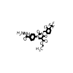 CCOC(=O)c1cn(-c2ccc(C(=O)NN)cc2)c(=O)n(Cc2cccc(C(F)(F)F)c2Cl)c1=O